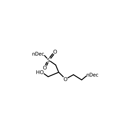 CCCCCCCCCCCCOC(CO)CS(=O)(=O)CCCCCCCCCC